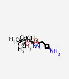 C[C@@H](O[Si](C)(C)C(C)(C)C)c1nnc(CC2CC(N)C2)o1